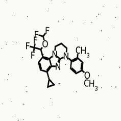 COc1ccc(N2CCCn3c2nc2c(C4CC4)ccc(C(OC(F)F)C(F)(F)F)c23)c(C)c1